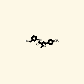 Cc1oc(-c2ccc(C(F)(F)F)cc2)cc1C(=O)Nc1cccc(CO)c1